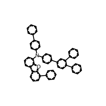 c1ccc(-c2ccc(N(c3ccc(-c4ccc(-c5ccccc5)c(-c5ccccc5)c4)cc3)c3cccc4c3oc3c(-c5ccccc5)cccc34)cc2)cc1